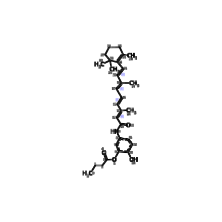 CCCC(=O)Oc1cc(NC(=O)/C=C(C)/C=C/C=C(C)/C=C/C2=C(C)CCCC2(C)C)ccc1O